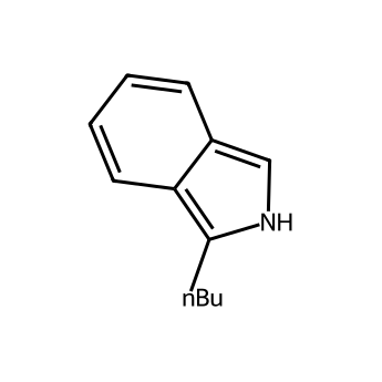 [CH2]CCCc1[nH]cc2ccccc12